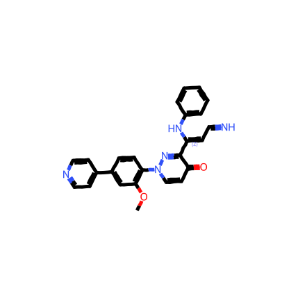 COc1cc(-c2ccncc2)ccc1-n1ccc(=O)c(/C(=C/C=N)Nc2ccccc2)n1